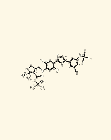 CC(C)(C)OC(=O)N1C(COc2cc(Cl)c(-c3nnc(-c4cc(Br)cc(OC(F)(F)F)c4)s3)cc2F)COC1(C)C